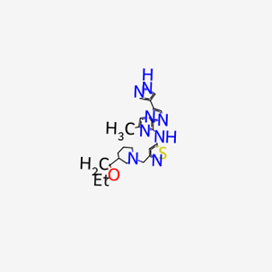 C=C(OCC)C1CCCN(Cc2cc(Nc3nc(C)cn4c(-c5cn[nH]c5)cnc34)sn2)C1